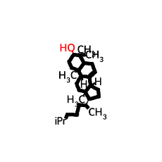 CC(C)CCCC(C)[C@H]1CC[C@H]2C3=CCC4C(C)(C)[C@@H](O)CC[C@]4(C)[C@H]3CC[C@]12C